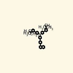 CC(C)(C)c1cccc(-c2ccc(N(c3ccc(-c4ccc(-c5cccc6ccccc56)cc4)cc3)c3ccc(-c4cccc(C(C)(C)C)c4)cc3)cc2)c1